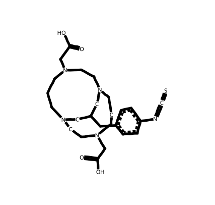 O=C(O)CN1CCCN2CCN(CC(=O)O)CCCN(CC1)CC(Cc1ccc(N=C=S)cc1)C2